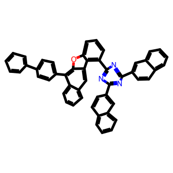 c1ccc(-c2ccc(-c3c4ccccc4cc4c3oc3cccc(-c5nc(-c6ccc7ccccc7c6)nc(-c6ccc7ccccc7c6)n5)c34)cc2)cc1